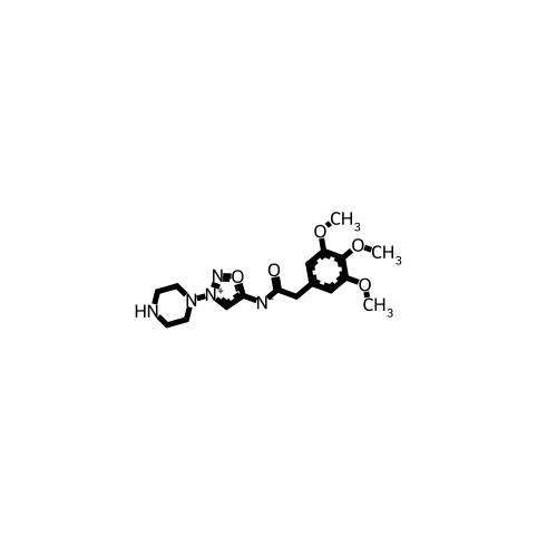 COc1cc(CC(=O)[N-]c2c[n+](N3CCNCC3)no2)cc(OC)c1OC